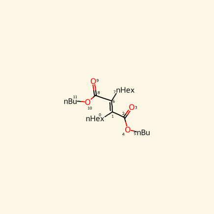 CCCCCCC(C(=O)OCCCC)=C(CCCCCC)C(=O)OCCCC